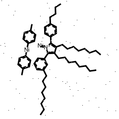 CCCCCCCCC1=C(c2ccc(CCCC)cc2)[N+](=[N-])C(c2cccc(CCCCCCCC)c2)=C1CCCCCCCC.Cc1cc[c]([Ni][c]2ccc(C)cc2)cc1